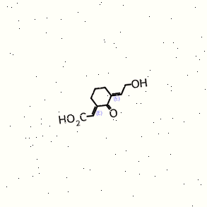 O=C(O)/C=C1\CCC/C(=C\CO)C1=O